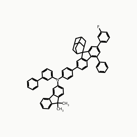 CC1(C)c2ccccc2-c2cc(N(c3ccc(-c4ccc5c(c4)C4(c6cc(-c7cccc(F)c7)cc(-c7ccccc7)c6-5)C5CC6CC(C5)CC4C6)cc3)c3cccc(-c4ccccc4)c3)ccc21